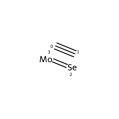 C#C.[Se]=[Mo]